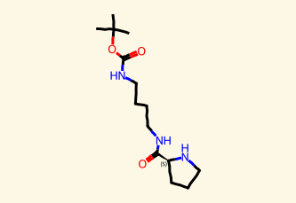 CC(C)(C)OC(=O)NCCCCNC(=O)[C@@H]1CCCN1